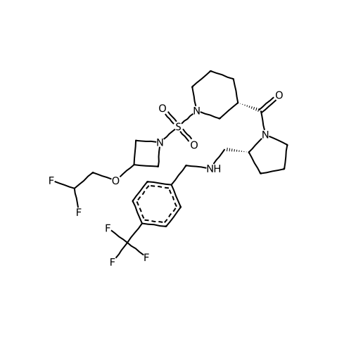 O=C([C@H]1CCCN(S(=O)(=O)N2CC(OCC(F)F)C2)C1)N1CCC[C@@H]1CNCc1ccc(C(F)(F)F)cc1